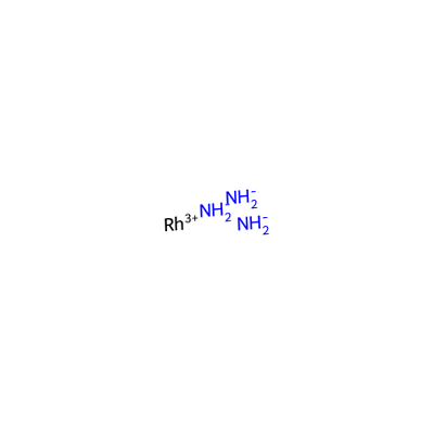 [NH2-].[NH2-].[NH2-].[Rh+3]